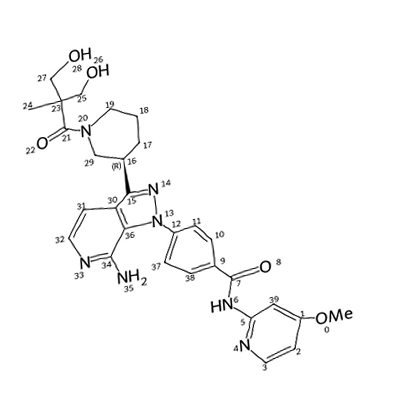 COc1ccnc(NC(=O)c2ccc(-n3nc([C@@H]4CCCN(C(=O)C(C)(CO)CO)C4)c4ccnc(N)c43)cc2)c1